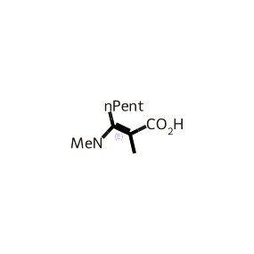 CCCCC/C(NC)=C(/C)C(=O)O